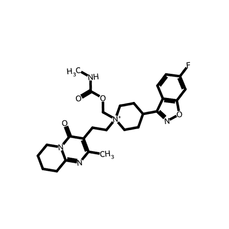 CNC(=O)OC[N+]1(CCc2c(C)nc3n(c2=O)CCCC3)CCC(c2noc3cc(F)ccc23)CC1